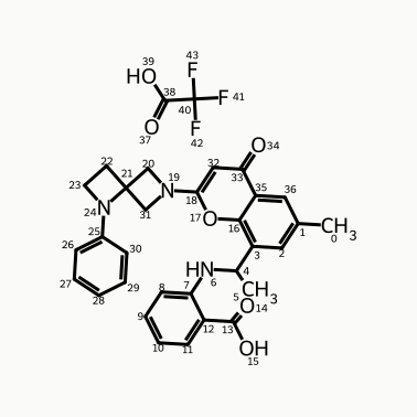 Cc1cc(C(C)Nc2ccccc2C(=O)O)c2oc(N3CC4(CCN4c4ccccc4)C3)cc(=O)c2c1.O=C(O)C(F)(F)F